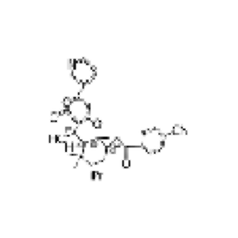 CC(C)C1C[C@H](OC(=O)c2ccc(C#N)cc2)[C@@]2(C)Oc3cc(-c4cccnc4)oc(=O)c3[C@H](O)[C@@H]2C1(C)C